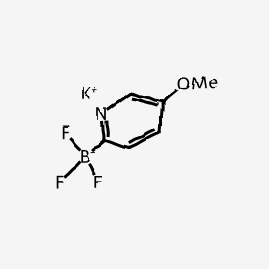 COc1ccc([B-](F)(F)F)nc1.[K+]